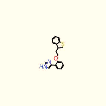 c1ccc(-c2c[nH]cn2)c(OCCC2CSc3ccccc32)c1